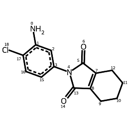 Nc1cc(N2C(=O)C3=C(CCCC3)C2=O)ccc1Cl